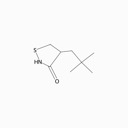 CC(C)(C)CC1CSNC1=O